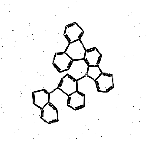 c1ccc2c(-c3ccc(-n4c5ccccc5c5ccc6c7ccccc7c7ccccc7c6c54)c4ccccc34)cccc2c1